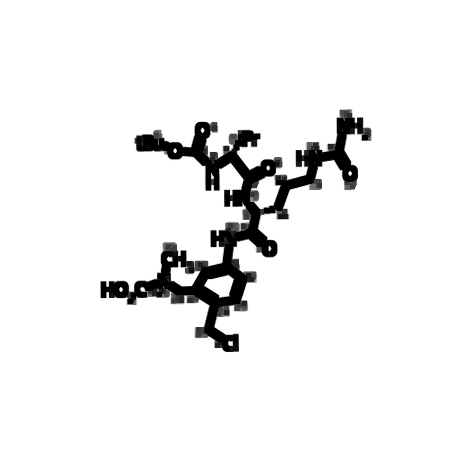 CC(C)[C@@H](NC(=O)OC(C)(C)C)C(=O)N[C@H](CCCNC(N)=O)C(=O)Nc1ccc(CCl)c(CN(C)C(=O)O)c1